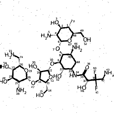 C[C@H]1[C@H](O)[C@@H](N)[C@@H](O[C@H]2[C@H](O[C@@H]3O[C@H](CO)[C@@H](O[C@H]4O[C@@H](CN)[C@@H](O)[C@H](O)[C@H]4N)[C@H]3O)[C@@H](O)[C@H](NC(=O)[C@@H](O)C(F)(F)CN)C[C@@H]2N)O[C@@H]1CO